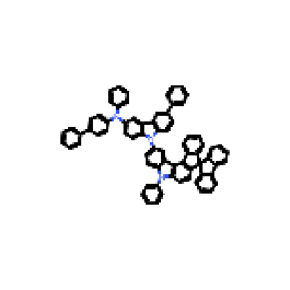 c1ccc(-c2ccc(N(c3ccccc3)c3ccc4c(c3)c3cc(-c5ccccc5)ccc3n4-c3ccc4c(c3)c3c5c(ccc3n4-c3ccccc3)C3(c4ccccc4-c4ccccc43)c3ccccc3-5)cc2)cc1